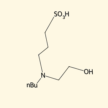 CCCCN(CCO)CCCS(=O)(=O)O